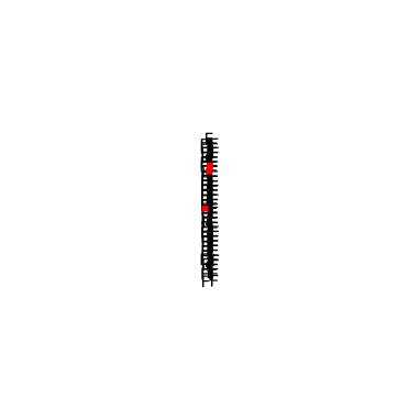 FC(F)C(F)(F)C(F)(F)C(F)(F)C(F)(F)C(F)(F)C(F)(F)C(F)(F)C(F)(F)C(F)(F)C(F)(F)C(F)(F)C(F)(F)C(F)(F)C(F)(F)C(F)(F)C(F)(F)C(F)(F)C(F)(F)C(F)(F)C(F)(F)C(F)(F)C(F)(F)C(F)(F)C(F)(F)C(F)(F)C(F)(F)C(F)(F)C(F)(F)C(F)(F)F